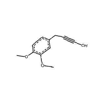 COc1ccc(CC#CO)cc1OC